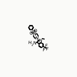 CCn1c(N2CCN(S(=O)(=O)c3ccccc3)CC2)c(N)c2ccc(C(F)(F)F)cc21